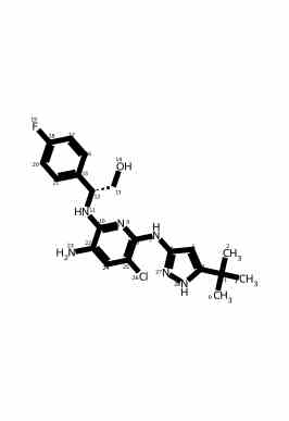 CC(C)(C)c1cc(Nc2nc(N[C@@H](CO)c3ccc(F)cc3)c(N)cc2Cl)n[nH]1